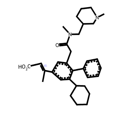 C/C(=C\C(=O)O)c1cc(CC(=O)N(C)CC2CCCN(C)C2)c(-c2ccccc2)c(C2CCCCC2)c1